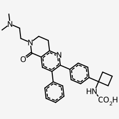 CN(C)CCN1CCc2nc(-c3ccc(C4(NC(=O)O)CCC4)cc3)c(-c3ccccc3)cc2C1=O